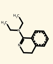 CCN(CC)C1=NCCc2ccccc21